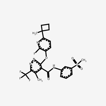 Cc1c(C(F)(F)F)nnc(Oc2ccc(C3(C)CCC3)nc2F)c1C(=O)Nc1cccc(S(C)(=O)=O)c1